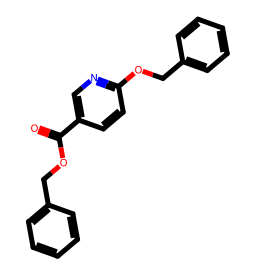 O=C(OCc1ccccc1)c1ccc(OCc2ccccc2)nc1